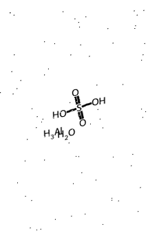 O.O=S(=O)(O)O.[AlH3]